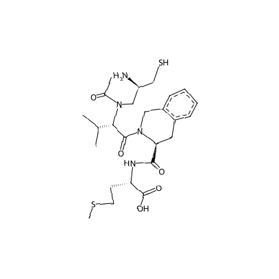 CSCC[C@H](NC(=O)[C@@H]1Cc2ccccc2CN1C(=O)[C@H](C(C)C)N(C[C@@H](N)CS)C(C)=O)C(=O)O